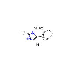 C=C1NC=C(C2=C3CCC(C3)C2)N1CCCCCC.[H+]